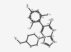 FCC1CCN([N+]23C=C(c4c(F)cc(F)cc4F)C(Cl)=NC2=NC=N3)CC1